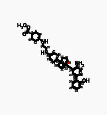 COC(=O)[C@H]1CC[C@@H](NCCNc2cnc(C34CC5CC3C(CN(c3cc(-c6ccccc6O)nnc3N)C5)C4)nc2)CC1